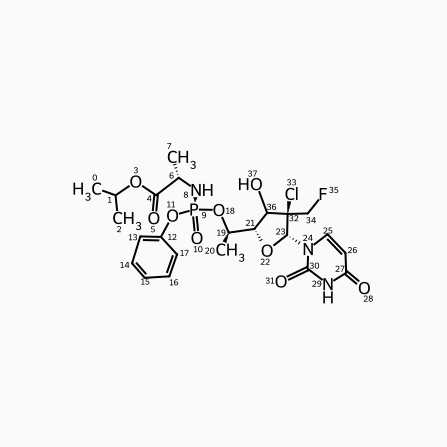 CC(C)OC(=O)[C@H](C)N[P@@](=O)(Oc1ccccc1)O[C@H](C)[C@H]1O[C@@H](n2ccc(=O)[nH]c2=O)[C@@](Cl)(CF)C1O